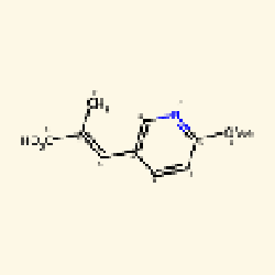 COc1ccc(C=C(C)C(=O)O)cn1